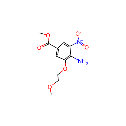 COCCOc1cc(C(=O)OC)cc([N+](=O)[O-])c1N